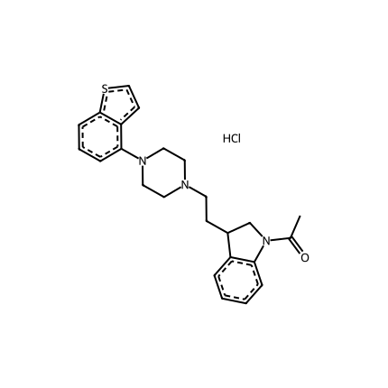 CC(=O)N1CC(CCN2CCN(c3cccc4sccc34)CC2)c2ccccc21.Cl